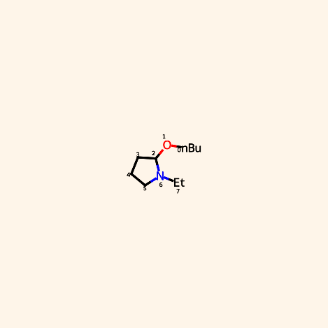 CCCCOC1CCCN1CC